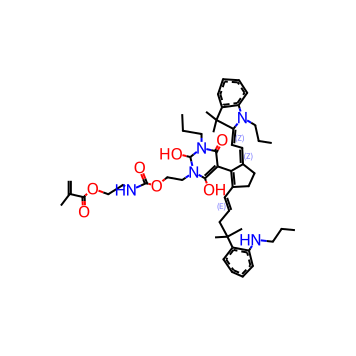 C=C(C)C(=O)OCCNC(=O)OCCN1C(O)=C(C2=C(/C=C/CC(C)(C)c3ccccc3NCCC)CC/C2=C/C=C2\N(CCC)c3ccccc3C2(C)C)C(=O)N(CCC)C1O